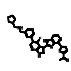 CC(=O)c1ccc(-c2nccc3[nH]c(-c4n[nH]c5ncc(-c6cncc(CNCC7CCCC7)c6)c(F)c45)nc23)s1